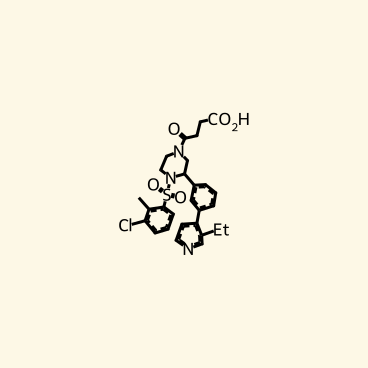 CCc1cnccc1-c1cccc(C2CN(C(=O)CCC(=O)O)CCN2S(=O)(=O)c2cccc(Cl)c2C)c1